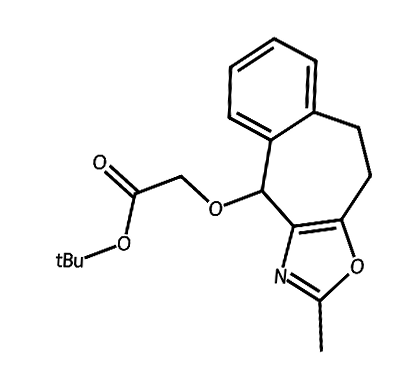 Cc1nc2c(o1)CCc1ccccc1C2OCC(=O)OC(C)(C)C